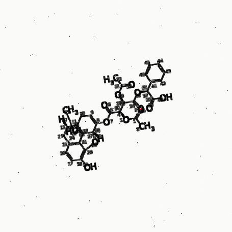 CC(=O)O[C@@H](C(=O)OC1=CC[C@@]2(O)[C@H]3Cc4ccc(O)c5c4[C@@]2(CCC3C)[C@H]1O5)[C@@H](OC(C)=O)C(=O)O[C@H](C(=O)O)c1ccccc1